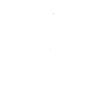 Cc1ccc(C(=O)N2CCc3c2cc(C)c([C@H](OC(C)(C)C)C(=O)O)c3-c2cc(F)c3c(c2C)CCCO3)c(Cl)c1